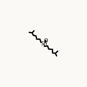 CC(C)CCCC[CH2][Sn](=[O])[CH2]CCCCC(C)C